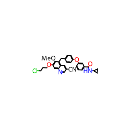 COc1c(OCCCCl)cc2ncc(C#N)cc2c1Cc1ccc(Oc2cccc(C(=O)NC3CC3)c2)cc1